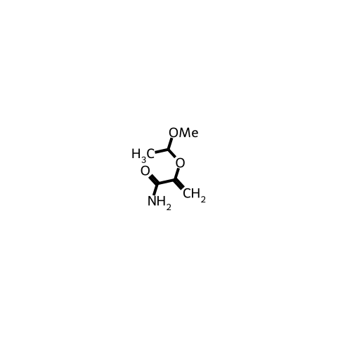 C=C(OC(C)OC)C(N)=O